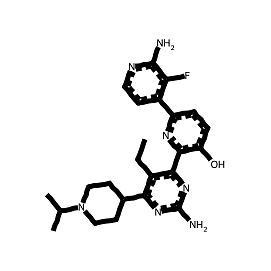 CCc1c(-c2nc(-c3ccnc(N)c3F)ccc2O)nc(N)nc1C1CCN(C(C)C)CC1